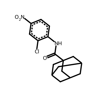 O=C(Nc1ccc([N+](=O)[O-])cc1Cl)C12CC3CC(CC(C3)C1)C2